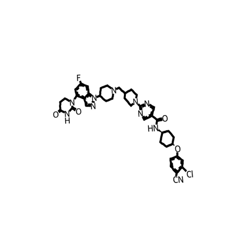 N#Cc1ccc(O[C@H]2CC[C@H](NC(=O)c3cnc(N4CCC(CN5CCC(n6ncc7c(N8CCC(=O)NC8=O)cc(F)cc76)CC5)CC4)nc3)CC2)cc1Cl